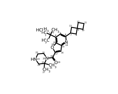 CC(C)(C)c1cc(C2CC3(CCC3)C2)nc2cc(C(=O)N3CCNCC3(C)C)oc12.Cl